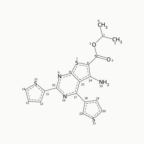 CC(C)OC(=O)c1sc2nc(-c3cccs3)nc(-c3ccsc3)c2c1N